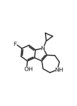 Oc1cc(F)cc2c1c1c(n2C2CC2)CCNCC1